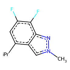 CC(C)c1cc(F)c(F)c2nn(C)cc12